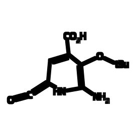 CC(C)(C)OC1=C(N)NC(=C=O)C=C1C(=O)O